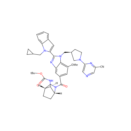 COc1cc(C(=O)N2C[C@H]3CC[C@@H]2[C@@H]3NC(=O)OC(C)(C)C)cc2nc(-c3cc4ccccc4n3CC3CC3)n(C[C@H]3CCN(c4cncc(C#N)n4)C3)c12